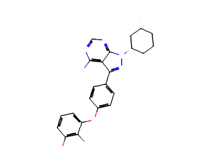 Nc1ncnc2c1c(-c1ccc(Oc3cccc(O)c3F)cc1)nn2[C@@H]1CCC[C@@H](O)C1